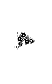 Cc1ccc(NC(=O)c2cccc(N3CCOCC3)c2N)cc1Nc1cccc(CN2CCN(C)CC2)c1